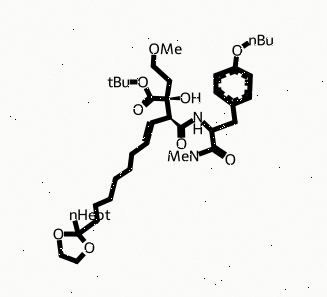 CCCCCCCC1(CCCCCC/C=C/[C@H](C(=O)NC(Cc2ccc(OCCCC)cc2)C(=O)NC)[C@@](O)(CCOC)C(=O)OC(C)(C)C)OCCO1